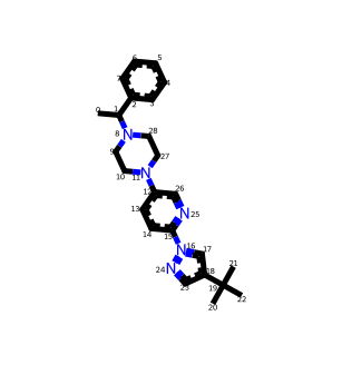 CC(c1ccccc1)N1CCN(c2ccc(-n3cc(C(C)(C)C)cn3)nc2)CC1